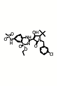 CCOP1(=O)N=C(C2=C(O)C(C(C)(C)C)N(Cc3cccc(Cl)c3)C2=O)Nc2ccc(NS(C)(=O)=O)cc21